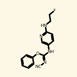 N#C/N=C(/Nc1ccc(NCCF)nc1)Oc1ccccc1